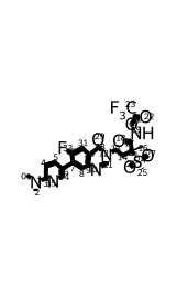 CN(C)c1ccc(-c2cc3ncn(CC[C@](C)(C(=O)NOC(=O)C(F)(F)F)S(C)(=O)=O)c(=O)c3cc2F)cn1